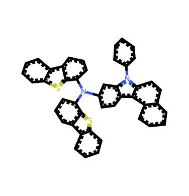 c1ccc(-n2c3cc(N(c4cccc5c4sc4ccccc45)c4cccc5c4sc4ccccc45)ccc3c3c4ccccc4ccc32)cc1